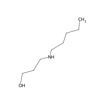 CCCCCNCCCO